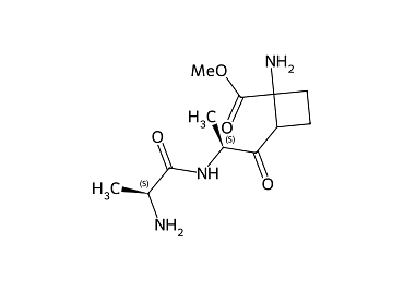 COC(=O)C1(N)CCC1C(=O)[C@H](C)NC(=O)[C@H](C)N